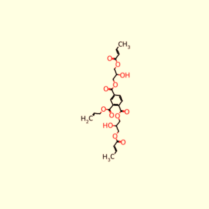 C=CCOC(=O)c1cc(C(=O)OCC(O)COC(=O)C=CC)ccc1C(=O)OCC(O)COC(=O)C=CC